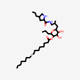 CCCCCCCCCCCCCCCC(=O)OC1C(CCC)OC(CC(C)CNC(=O)C2CC(CCC)CN2)C(O)C1O